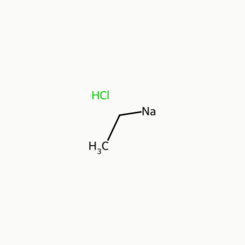 C[CH2][Na].Cl